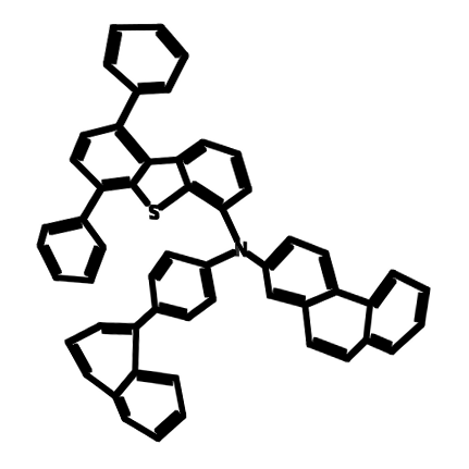 c1ccc(-c2ccc(-c3ccccc3)c3c2sc2c(N(c4ccc(-c5cccc6ccccc56)cc4)c4ccc5c(ccc6ccccc65)c4)cccc23)cc1